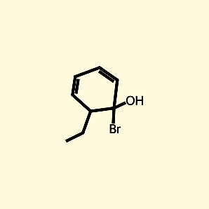 CCC1C=CC=CC1(O)Br